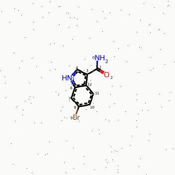 NC(=O)c1c[nH]c2cc(Br)ccc12